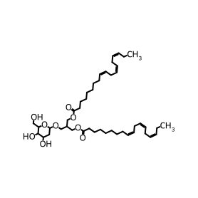 CC/C=C\C/C=C\C/C=C\CCCCCCCC(=O)OCC(COC(=O)CCCCCCC/C=C\C/C=C\C/C=C\CC)COC1CC(O)C(O)C(CO)O1